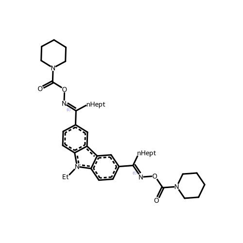 CCCCCCC/C(=N\OC(=O)N1CCCCC1)c1ccc2c(c1)c1cc(/C(CCCCCCC)=N/OC(=O)N3CCCCC3)ccc1n2CC